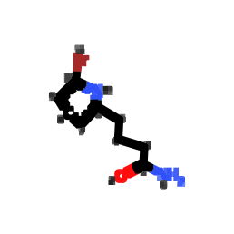 NC(=O)CCCc1cccc(Br)n1